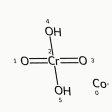 [Co].[O]=[Cr](=[O])([OH])[OH]